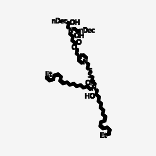 CC/C=C\C/C=C\C/C=C\CCCCCC[C@H](O)CN(CCCSSCCN1CCN(CCOC(=O)CCCN(CC(O)CCCCCCCCCC)CC(O)CCCCCCCCCC)CC1)C[C@@H](O)CCCCCC/C=C\C/C=C\C/C=C\CC